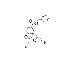 O=C(CCF)CC1(CC(=O)CCF)CCCC(C(=O)OCc2ccccc2)C1